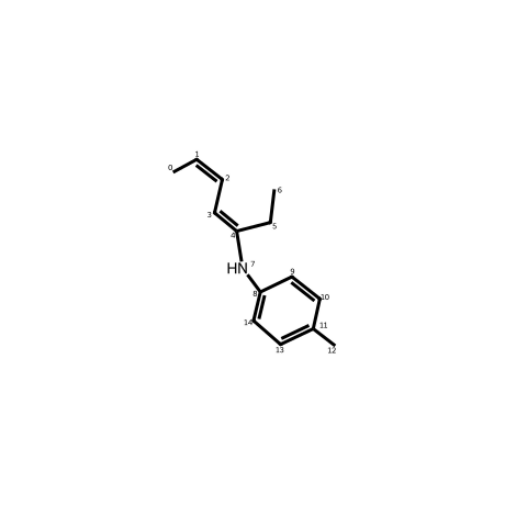 C/C=C\C=C(/CC)Nc1ccc(C)cc1